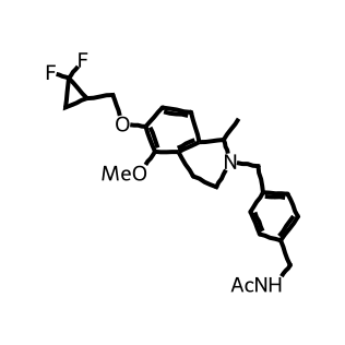 COc1c(OCC2CC2(F)F)ccc2c1CCN(Cc1ccc(CNC(C)=O)cc1)C2C